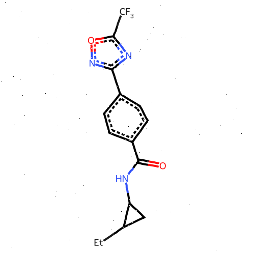 CCC1CC1NC(=O)c1ccc(-c2noc(C(F)(F)F)n2)cc1